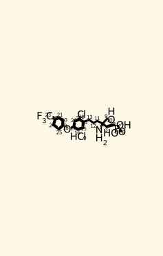 Cl.NC(/C=C/P(=O)(O)O)(CO)CCCc1ccc(Oc2ccc(C(F)(F)F)cc2)cc1Cl